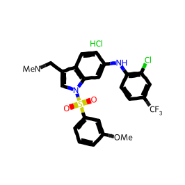 CNCc1cn(S(=O)(=O)c2cccc(OC)c2)c2cc(Nc3ccc(C(F)(F)F)cc3Cl)ccc12.Cl